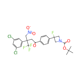 CC(C)(C)OC(=O)N1CC(F)(c2ccc(C(=O)CC(C[N+](=O)[O-])(c3cc(Cl)cc(Cl)c3)C(F)(F)F)cc2)C1